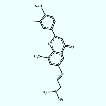 CCCN(C)C/C=N/c1cc(C)c2nc(-c3ccc(OC)c(F)c3)cc(=O)n2c1